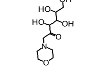 O=C(CN1CCOCC1)C(O)C(O)C(O)CO